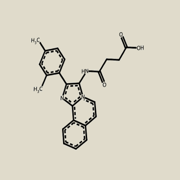 Cc1ccc(-c2nc3c4ccccc4ccn3c2NC(=O)CCC(=O)O)c(C)c1